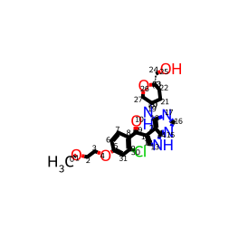 COCCOc1ccc(C(=O)c2c[nH]c3ncnc(N[C@H]4CC[C@@H](CO)OC4)c23)c(Cl)c1